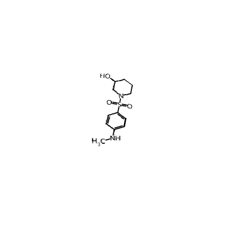 CNc1ccc(S(=O)(=O)N2CCCC(O)C2)cc1